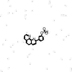 O=[SH](=O)Oc1cccc(C2=NC3=c4ncccc4=CCC3C=C2)c1